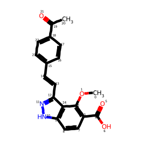 COc1c(C(=O)O)ccc2[nH]nc(/C=C/c3ccc(C(C)=O)cc3)c12